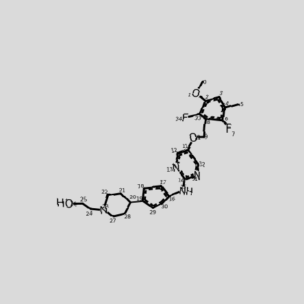 COc1cc(C)c(F)c(COc2cnc(Nc3ccc(C4CCN(CCO)CC4)cc3)nc2)c1F